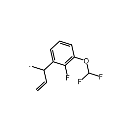 [CH2]C(C=C)c1cccc(OC(F)F)c1F